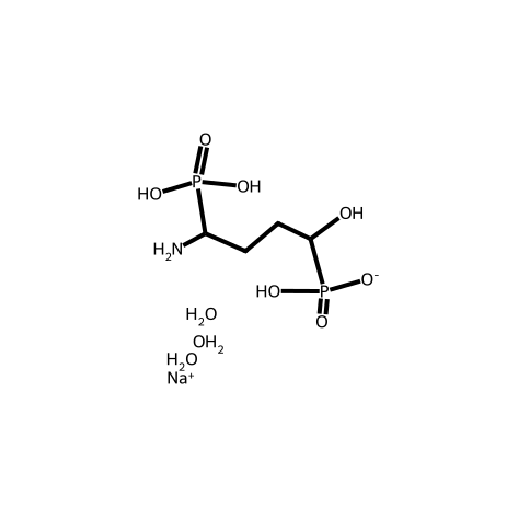 NC(CCC(O)P(=O)([O-])O)P(=O)(O)O.O.O.O.[Na+]